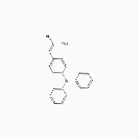 CCC(=Cc1ccc(N(c2ccccc2)c2ccccc2)cc1)C(=O)O